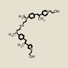 C/C(=C\c1ccc(N(C)CCSSCCN(C)c2ccc(/C=C(\C)c3ccn(CCO)c3)cc2)cc1)c1cc[n+](CCO)cc1